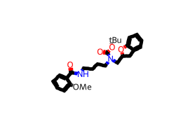 COc1ccccc1C(=O)NCCCCN(CC1Cc2ccccc2O1)C(=O)OC(C)(C)C